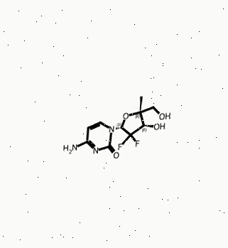 C[C@]1(CO)O[C@@H](n2ccc(N)nc2=O)C(F)(F)[C@@H]1O